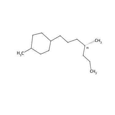 CCC[C@@H](C)CCCC1CCC(C)CC1